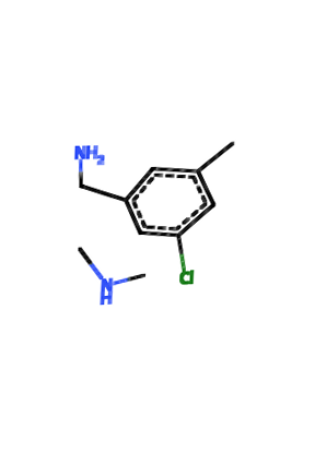 CNC.Cc1cc(Cl)cc(CN)c1